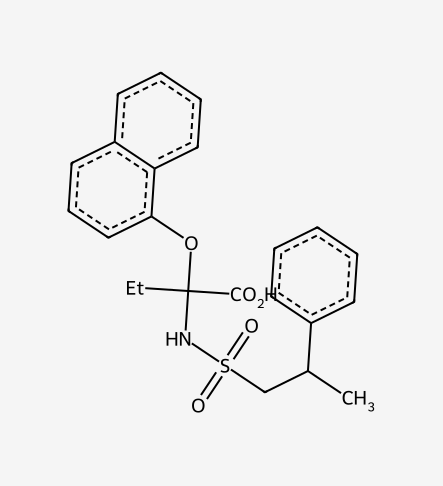 CCC(NS(=O)(=O)CC(C)c1ccccc1)(Oc1cccc2ccccc12)C(=O)O